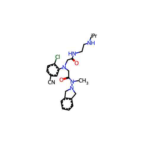 CC(C)NCCNC(=O)CN(CC(=O)N(C)N1Cc2ccccc2C1)c1cc(C#N)ccc1Cl